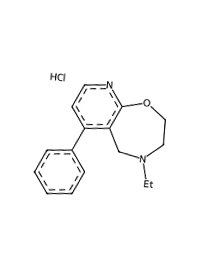 CCN1CCOc2nccc(-c3ccccc3)c2C1.Cl